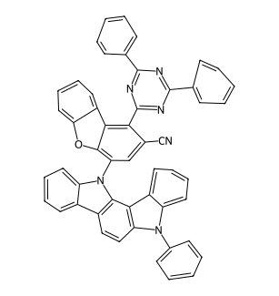 N#Cc1cc(-n2c3ccccc3c3ccc4c(c5ccccc5n4-c4ccccc4)c32)c2oc3ccccc3c2c1-c1nc(-c2ccccc2)nc(-c2ccccc2)n1